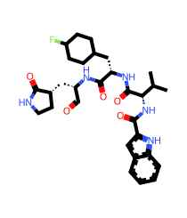 CC(C)[C@H](NC(=O)c1cc2ccccc2[nH]1)C(=O)N[C@@H](CC1CCC(F)CC1)C(=O)N[C@H](C=O)C[C@@H]1CCNC1=O